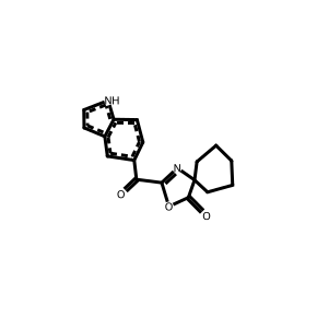 O=C(C1=NC2(CCCCC2)C(=O)O1)c1ccc2[nH]ccc2c1